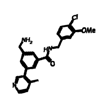 COc1cc(CNC(=O)c2cc(CN)cc(-c3cnccc3C)c2)ccc1Cl